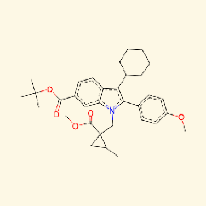 COC(=O)C1(Cn2c(-c3ccc(OC)cc3)c(C3CCCCC3)c3ccc(C(=O)OC(C)(C)C)cc32)CC1C